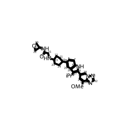 COc1cc(-c2[nH]c3ccc(C4CCC(NCC(=O)NC5COC5)CC4)cc3c2C(C)C)cn2ncnc12